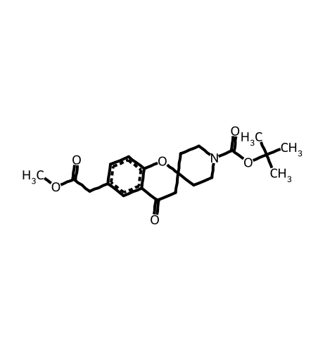 COC(=O)Cc1ccc2c(c1)C(=O)CC1(CCN(C(=O)OC(C)(C)C)CC1)O2